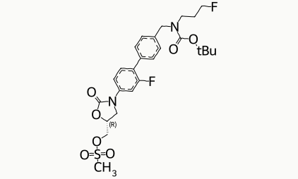 CC(C)(C)OC(=O)N(CCCF)Cc1ccc(-c2ccc(N3C[C@H](COS(C)(=O)=O)OC3=O)cc2F)cc1